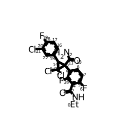 CCNC(=O)c1c(F)ccc(C2(C(N)=O)C(c3ccc(F)c(Cl)c3)C2(Cl)Cl)c1F